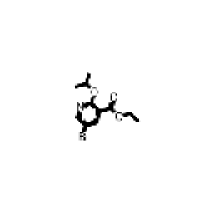 CCOC(=O)c1cc(Br)cnc1OC(C)C